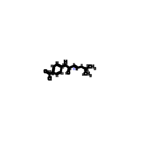 CN(C)C/C=C/C(=O)Nc1ccc(C(=O)Cl)cc1